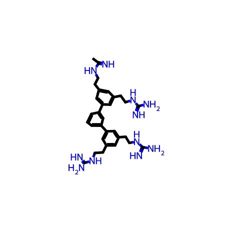 CC(=N)NCCc1cc(CCNC(=N)N)cc(-c2cccc(-c3cc(CCNC(=N)N)cc(CCNC(=N)N)c3)c2)c1